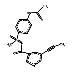 CC#Cc1cncc(C(=O)N=S(C)(=O)c2ccc(NC(C)=O)cc2)c1